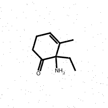 CCC1(N)C(=O)CCC=C1C